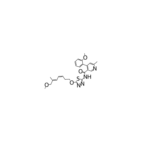 COC/C(C)=C/C=C\CCOc1nnc(NC(=O)c2cnc(C)cc2-c2ccccc2OC)s1